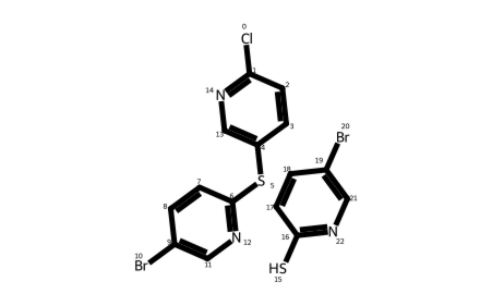 Clc1ccc(Sc2ccc(Br)cn2)cn1.Sc1ccc(Br)cn1